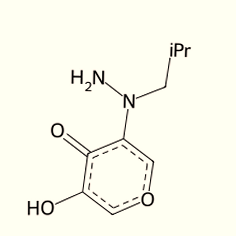 CC(C)CN(N)c1cocc(O)c1=O